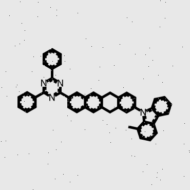 Cc1cccc2c3ccccc3n(-c3ccc4c(c3)Cc3cc5ccc(-c6nc(-c7ccccc7)nc(-c7ccccc7)n6)cc5cc3C4)c12